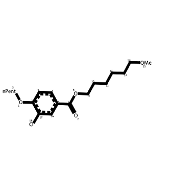 CCCCCOc1ccc(C(=O)OCCCCCCOC)cc1Cl